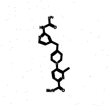 CCCC(=O)Nc1cc(CC2=CCN(c3ccc(C(=O)NC)nc3C)CC2)ccn1